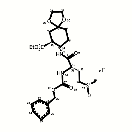 CCOC(=O)[C@H]1CC2(CC[C@@H]1NC(=O)[C@H](CC[S+](C)C)NC(=O)OCc1ccccc1)OCCO2.[I-]